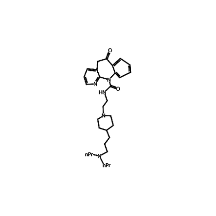 CCCN(CCC)CCCC1CCN(CCNC(=O)N2c3ccccc3C(=O)Cc3cccnc32)CC1